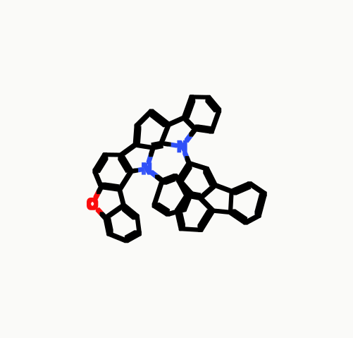 c1ccc(-n2c3c(ccc4oc5ccccc5c43)c3ccc4c5ccccc5n(-c5cc6c7c(cccc7c5)-c5ccccc5-6)c4c32)cc1